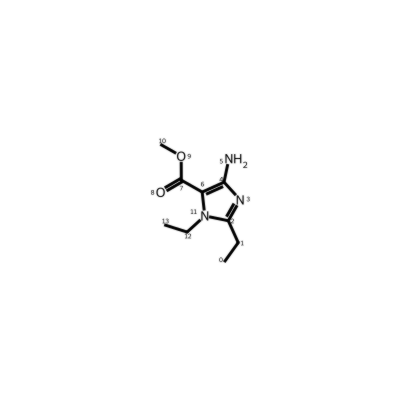 CCc1nc(N)c(C(=O)OC)n1CC